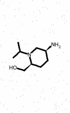 CC(C)N1C[C@@H](N)CC[C@H]1CO